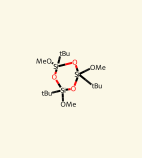 CO[Si]1(C(C)(C)C)O[Si](OC)(C(C)(C)C)O[Si](OC)(C(C)(C)C)O1